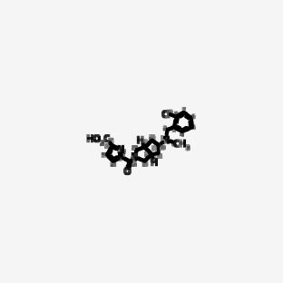 CN(Cc1ccccc1Cl)[C@H]1C[C@@H]2CN(C(=O)n3ccc(C(=O)O)n3)C[C@@H]2C1